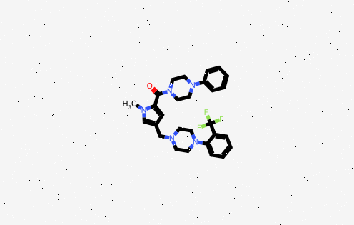 Cn1cc(CN2CCN(c3ccccc3C(F)(F)F)CC2)cc1C(=O)N1CCN(c2ccccc2)CC1